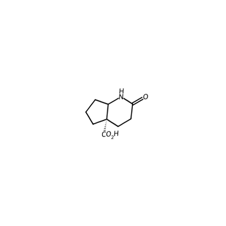 O=C1CC[C@@]2(C(=O)O)CCCC2N1